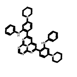 C1=NC2=NC(c3ccc(N4CCCCC4)cc3Nc3ccccc3)=CC3=CC(c4ccc(N5CCCCC5)cc4Nc4ccccc4)=NC(=N1)N32